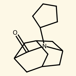 O=C1C2CC3CC(C2)CC(C3)N1C1CCCC1